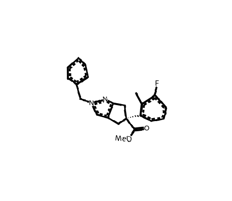 COC(=O)[C@@]1(c2cccc(F)c2C)Cc2cn(Cc3ccccc3)nc2C1